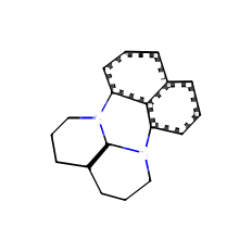 c1cc(N2CCCCC2)c2c(N3CCCCC3)cccc2c1